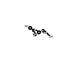 N#Cc1ccc(-c2cc3n(c2)Cc2cc(N4CCC(CNCCCO)C4)ccc2-n2cnnc2-3)cc1